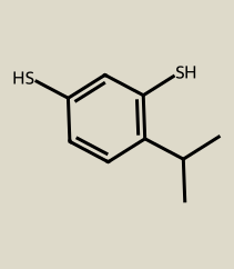 CC(C)c1ccc(S)cc1S